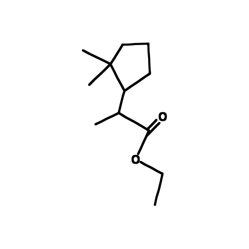 CCOC(=O)C(C)C1CCCC1(C)C